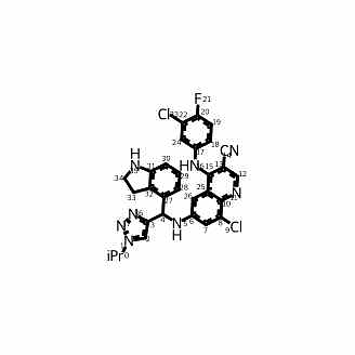 CC(C)n1cc(C(Nc2cc(Cl)c3ncc(C#N)c(Nc4ccc(F)c(Cl)c4)c3c2)c2cccc3c2CCN3)nn1